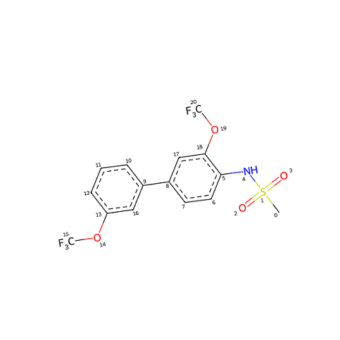 CS(=O)(=O)Nc1ccc(-c2cccc(OC(F)(F)F)c2)cc1OC(F)(F)F